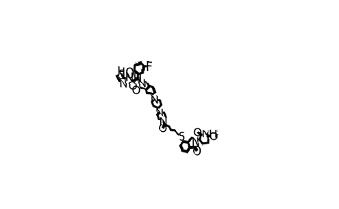 O=C1CCC(N2Cc3c(SCCCCC(=O)N4CCN(C5CCN(c6ccc7c(c6)C(=O)N(C(C(=O)Nc6nccs6)c6cc(F)ccc6O)C7)CC5)CC4)cccc3C2=O)C(=O)N1